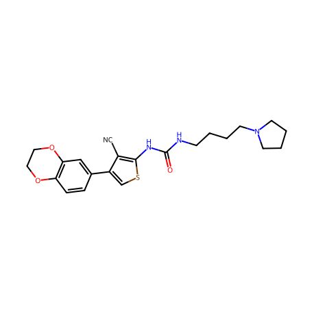 N#Cc1c(-c2ccc3c(c2)OCCO3)csc1NC(=O)NCCCCN1CCCC1